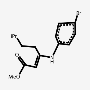 COC(=O)/C=C(\CCC(C)C)Nc1ccc(Br)cc1